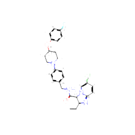 CCC1N=C2C=CC(Cl)=CN2C1C(=O)NCc1ccc(N2CCC(Oc3ccc(F)cc3)CC2)cc1